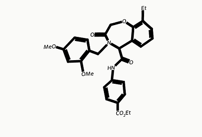 CCOC(=O)c1ccc(NC(=O)C2c3cccc(CC)c3OCC(=O)N2Cc2ccc(OC)cc2OC)cc1